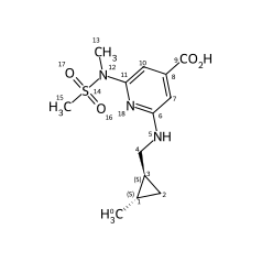 C[C@H]1C[C@@H]1CNc1cc(C(=O)O)cc(N(C)S(C)(=O)=O)n1